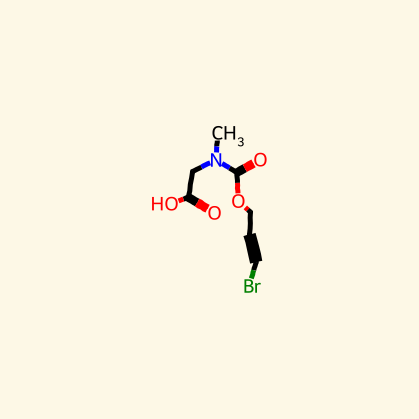 CN(CC(=O)O)C(=O)OCC#CBr